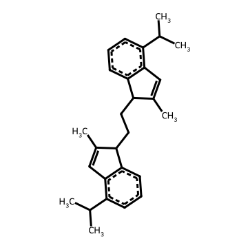 CC1=Cc2c(C(C)C)cccc2C1CCC1C(C)=Cc2c(C(C)C)cccc21